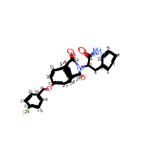 NC(=O)C(Cc1ccccc1)N1C(=O)c2ccc(OCc3ccc(F)cc3)cc2C1=O